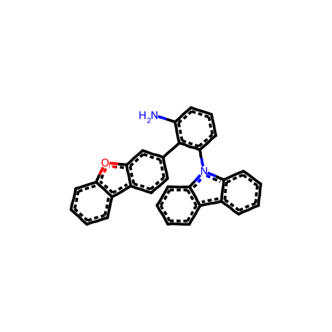 Nc1cccc(-n2c3ccccc3c3ccccc32)c1-c1ccc2c(c1)oc1ccccc12